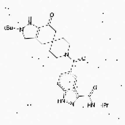 CC(C)NC(=O)c1n[nH]c2ccc(C(=O)N3CCC4(CC3)CC(=O)C3=C(CN(C(C)(C)C)N3)C4)cc12